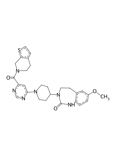 COc1ccc2c(c1)CCN(C1CCN(c3cc(C(=O)N4CCc5ccsc5C4)ncn3)CC1)C(=O)N2